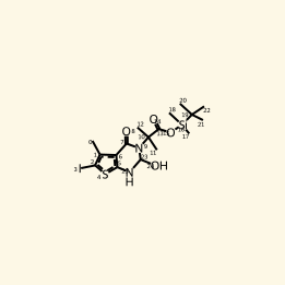 Cc1c(I)sc2c1C(=O)N(C(C)(C)C(=O)O[Si](C)(C)C(C)(C)C)C(O)N2